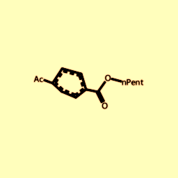 CCCCCOC(=O)c1ccc(C(C)=O)cc1